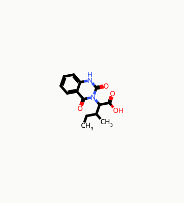 CCC(C)C(C(=O)O)n1c(=O)[nH]c2ccccc2c1=O